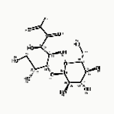 CC(=O)C(=O)[C@H](O)[C@@H](O)[C@H](O[C@H]1O[C@H](CO)[C@@H](O)[C@H](O)[C@H]1O)[C@H](O)CO